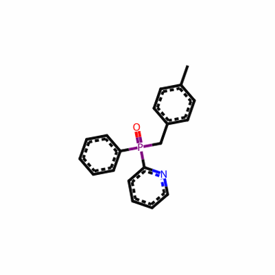 Cc1ccc(CP(=O)(c2ccccc2)c2ccccn2)cc1